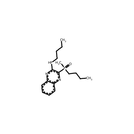 CCCCPc1nc2ccccc2nc1P(C)(=O)CCCC